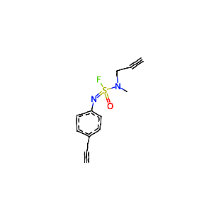 C#CCN(C)S(=O)(F)=Nc1ccc(C#C)cc1